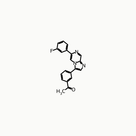 CC(=O)c1cccc(-c2cnc3cnc(-c4cccc(F)c4)cn23)c1